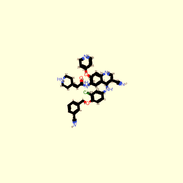 N#Cc1cccc(COc2ccc(Nc3c(C#N)cnc4cc(Oc5ccncc5)c(NC(=O)C=C5CCNCC5)cc34)cc2Cl)c1